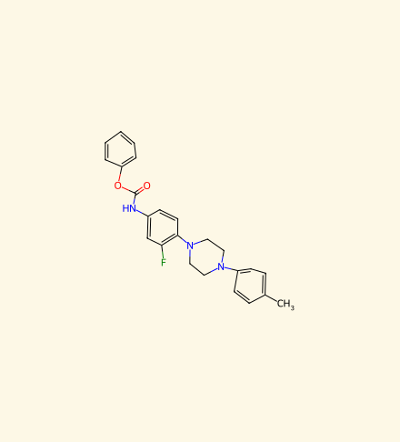 Cc1ccc(N2CCN(c3ccc(NC(=O)Oc4ccccc4)cc3F)CC2)cc1